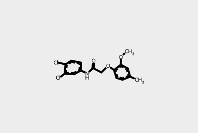 COc1cc(C)ccc1OCC(=O)Nc1ccc(Cl)c(Cl)c1